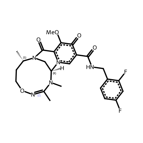 COc1c2n(cc(C(=O)NCc3ccc(F)cc3F)c1=O)[C@@H]1CN(C2=O)[C@@H](C)CCO/N=C(/C)N1C